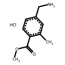 COC(=O)c1ccc(CN)cc1C.Cl